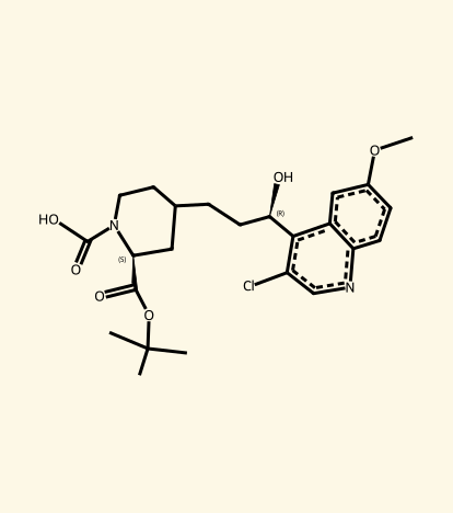 COc1ccc2ncc(Cl)c([C@H](O)CCC3CCN(C(=O)O)[C@H](C(=O)OC(C)(C)C)C3)c2c1